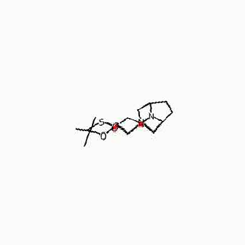 CSOCCN1C2CCC1CN(CCOC(C)(C)C)C2